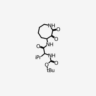 CC(C)C(NC(=O)OC(C)(C)C)C(=O)NC1CCCCNC(=O)C1=O